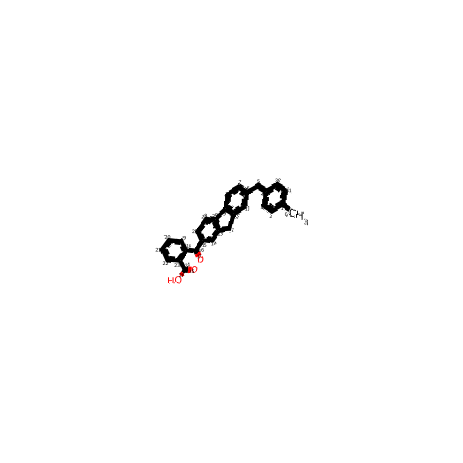 Cc1ccc(Cc2ccc3c(c2)Cc2cc(C(=O)c4ccccc4C(=O)O)ccc2-3)cc1